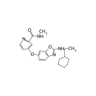 CNC(=O)c1cc(Oc2ccc3nc(NC(C)C4CCCCC4)oc3c2)ccn1